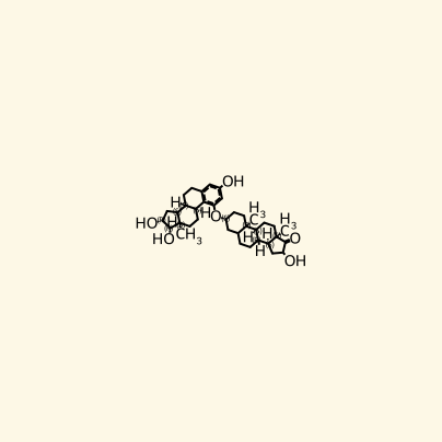 C[C@]12CC[C@@H]3c4c(cc(O)cc4O[C@H]4CC[C@@]5(C)C(CC[C@@H]6[C@@H]5CC[C@]5(C)C(=O)C(O)C[C@@H]65)C4)CC[C@H]3[C@@H]1C[C@@H](O)[C@@H]2O